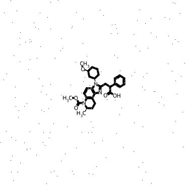 COC(=O)N1c2ccc3c(nc(CC(C(=O)O)c4ccccc4)n3[C@H]3CCC[C@H](OC)C3)c2CC[C@@H]1C